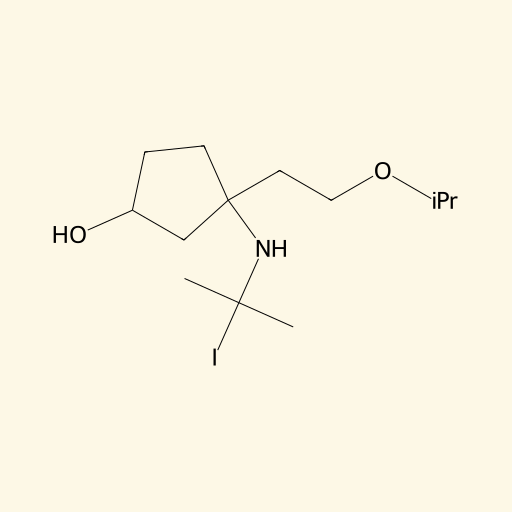 CC(C)OCCC1(NC(C)(C)I)CCC(O)C1